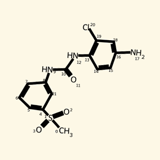 CS(=O)(=O)c1cccc(NC(=O)Nc2ccc(N)cc2Cl)c1